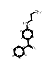 [CH2]CCNc1ccc(C(=O)c2ccccc2)cc1